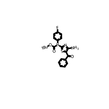 CC(C)(C)OC(=O)N(c1ccc(F)cc1)c1nc(N)c(C(=O)c2ccccc2)s1